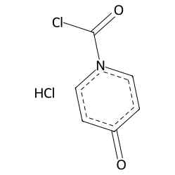 Cl.O=C(Cl)n1ccc(=O)cc1